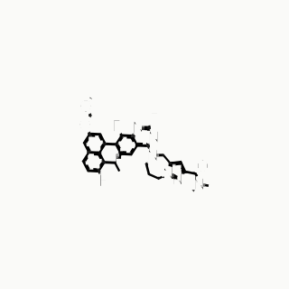 CCc1c(F)ccc2cc(OCOC)cc(-c3c(F)cc4c(N5CCCn6nc(C(=O)N(C)C)cc6C5)nc(F)nc4c3F)c12